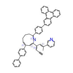 C#C/C=C(\C=C(/C)c1cccnc1)C1=C/C(c2ccc(-c3ccccc3)cc2)=C\CCC/C(c2ccc(-c3ccc4c5ccccc5c5ccccc5c4c3)cc2)=N\1